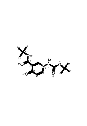 CC(C)(C)OC(=O)Nn1ccc(=O)c(C(=O)OC(C)(C)C)c1